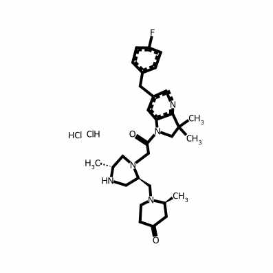 C[C@@H]1CN(CC(=O)N2CC(C)(C)c3ncc(Cc4ccc(F)cc4)cc32)[C@@H](CN2CCC(=O)C[C@@H]2C)CN1.Cl.Cl